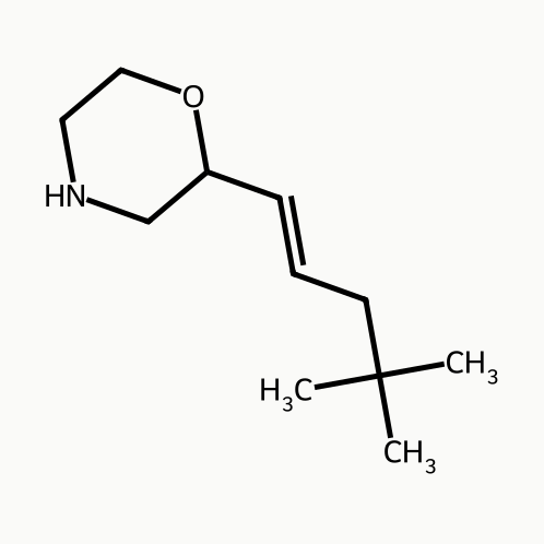 CC(C)(C)CC=CC1CNCCO1